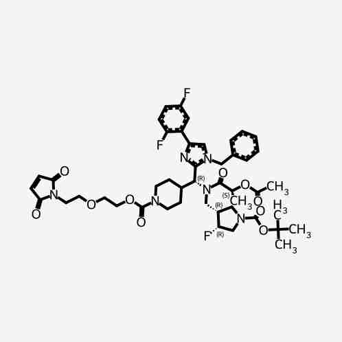 CC(=O)O[C@@H](C)C(=O)N(C[C@@H]1CN(C(=O)OC(C)(C)C)C[C@@H]1F)[C@@H](c1nc(-c2cc(F)ccc2F)cn1Cc1ccccc1)C1CCN(C(=O)OCCOCCN2C(=O)C=CC2=O)CC1